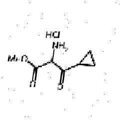 COC(=O)C(N)C(=O)C1CC1.Cl